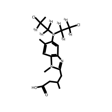 [2H]C([2H])(Cl)C([2H])([2H])N(c1cc2nc(CC(C)CC(=O)O)n(C)c2cc1C)C([2H])([2H])C([2H])(C)Cl